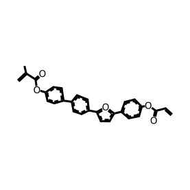 C=CC(=O)Oc1ccc(-c2ccc(-c3ccc(-c4ccc(OC(=O)C(=C)C)cc4)cc3)o2)cc1